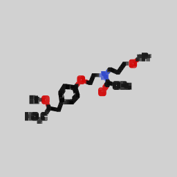 CCCOCCCN(CCOc1ccc(CC(OCC)C(=O)O)cc1)C(=O)OCC(C)C